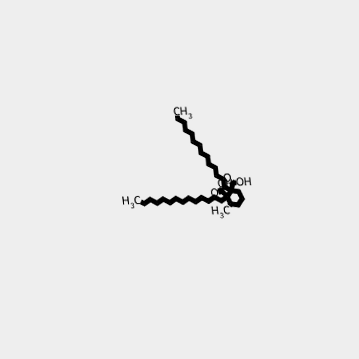 CCCCCCCCCCCCCCC1(C(=O)O)CCCC(C)C1(CCCCCCCCCCCCCC)C(=O)O